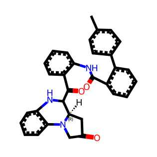 Cc1ccc(-c2ccccc2C(=O)Nc2ccccc2C(=O)C2Nc3ccccc3N3CC(=O)C[C@H]23)cc1